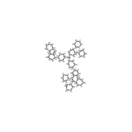 c1ccc(-c2ccc(N(c3ccc(-c4ccc5c(c4)c(-c4ccccc4)c(-c4ccccc4)c4ccccc45)cc3)c3ccc(-c4cccc5c4oc4ccccc45)cc3)cc2-c2ccccc2)cc1